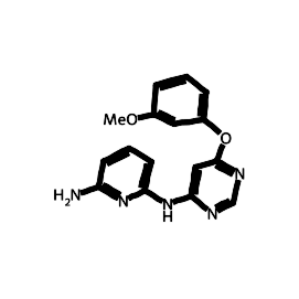 COc1cccc(Oc2cc(Nc3cccc(N)n3)ncn2)c1